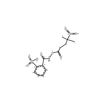 CC(C)(CCC(=O)ONC(=O)c1ccccc1S(=O)(=O)Cl)[SH](=O)=O